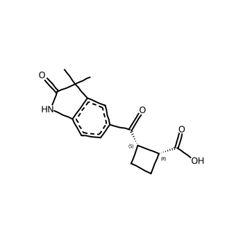 CC1(C)C(=O)Nc2ccc(C(=O)[C@H]3CC[C@H]3C(=O)O)cc21